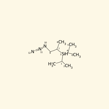 CC(C)[SiH](C(C)C)C(C)CN=[N+]=[N-]